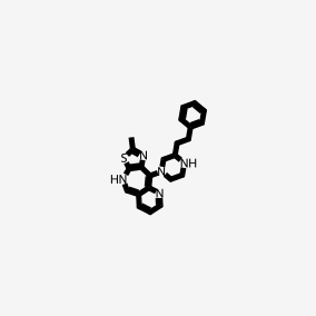 Cc1nc2c(s1)NC=c1cccnc1=C2N1CCNC(CCc2ccccc2)C1